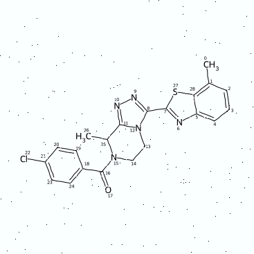 Cc1cccc2nc(-c3nnc4n3CCN(C(=O)c3ccc(Cl)cc3)C4C)sc12